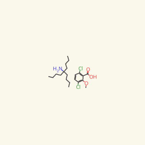 CCCCC(N)(CCCC)CCCC.COc1c(Cl)ccc(Cl)c1C(=O)O